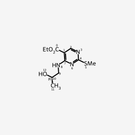 CCOC(=O)c1cnc(SC)nc1NC[C@@H](C)O